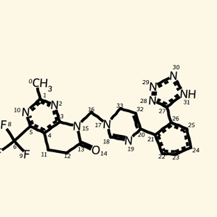 Cc1nc2c(c(C(F)(F)F)n1)CCC(=O)N2CN1C=NC(c2ccccc2-c2nnn[nH]2)=CC1